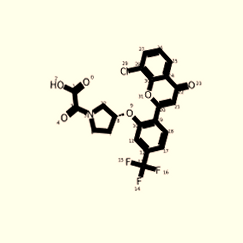 O=C(O)C(=O)N1CC[C@@H](Oc2cc(C(F)(F)F)ccc2-c2cc(=O)c3cccc(Cl)c3o2)C1